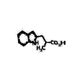 CC(Cc1cc2ccccc2[nH]1)C(=O)O